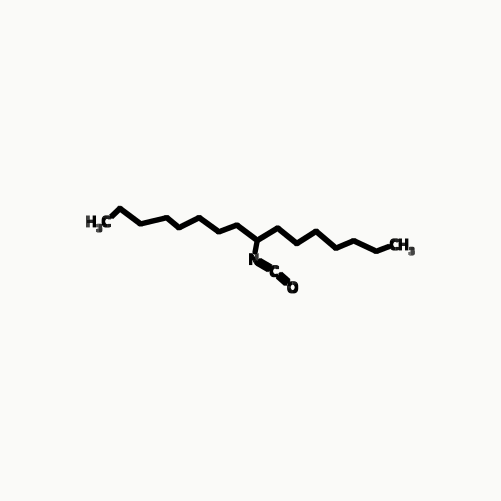 CCCCCCCCC(CCCCCCC)N=C=O